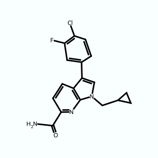 NC(=O)c1ccc2c(-c3ccc(Cl)c(F)c3)cn(CC3CC3)c2n1